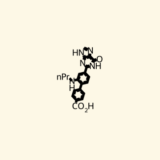 CCCNc1cc(-c2nc3[nH]cnc3c(=O)[nH]2)ccc1-c1ccc(C(=O)O)cc1